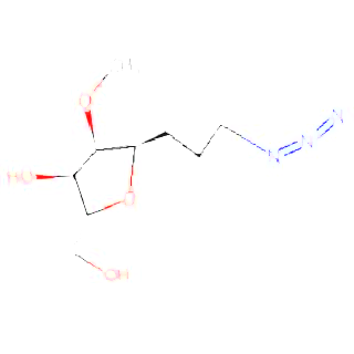 CO[C@@H]1[C@H](O)[C@@H](CO)O[C@@H]1CCCN=[N+]=[N-]